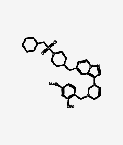 COc1ccc(CN2CC=CN(c3cnn4ccc(CC5CCN(S(=O)(=O)CC6CCCCC6)CC5)cc34)C2)c(OC)c1